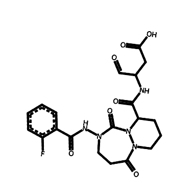 O=CC(CC(=O)O)NC(=O)C1CCCN2C(=O)CCN(NC(=O)c3ccccc3F)C(=O)N12